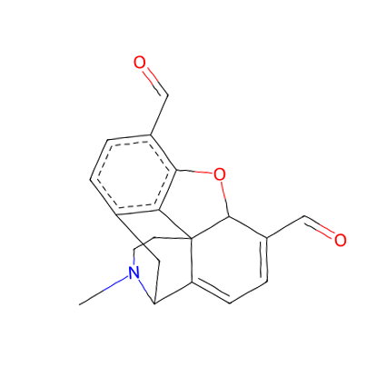 CN1CCC23C4=CC=C(C=O)C2Oc2c(C=O)ccc(c23)CC41